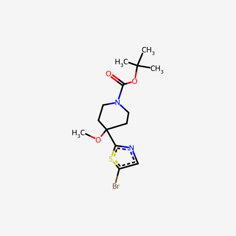 COC1(c2ncc(Br)s2)CCN(C(=O)OC(C)(C)C)CC1